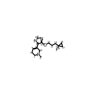 CN1CCC=C(c2nsnc2OCCCC2(F)CC2)C1